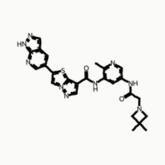 Cc1ncc(NC(=O)CN2CC(C)(C)C2)cc1NC(=O)c1cnn2cc(-c3cnc4[nH]ncc4c3)sc12